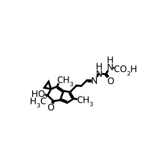 CC1=C(CC/C=N/NC(=O)NC(=O)O)C2=C(C)C3(CC3)[C@](C)(O)C(=O)C2=C1